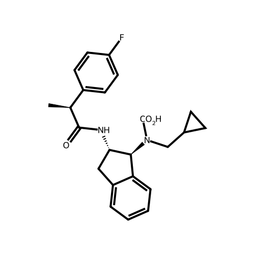 C[C@H](C(=O)N[C@H]1Cc2ccccc2[C@@H]1N(CC1CC1)C(=O)O)c1ccc(F)cc1